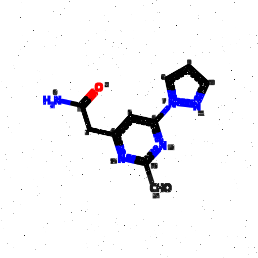 NC(=O)Cc1cc(-n2cccn2)nc(C=O)n1